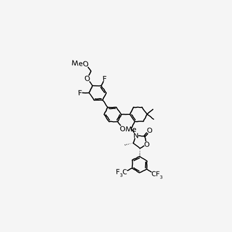 COCOC1C(F)=CC(c2ccc(OC)c(C3=C(CN4C(=O)O[C@H](c5cc(C(F)(F)F)cc(C(F)(F)F)c5)[C@@H]4C)CC(C)(C)CC3)c2)=CC1F